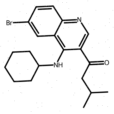 CC(C)CC(=O)c1cnc2ccc(Br)cc2c1NC1CCCCC1